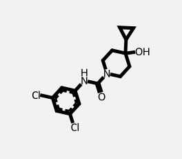 O=C(Nc1cc(Cl)cc(Cl)c1)N1CCC(O)(C2CC2)CC1